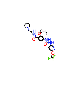 COc1cc(NC(=O)Nc2ccc(OCC(F)(F)F)nc2)ccc1C(=O)NCCCN1CCCCC1